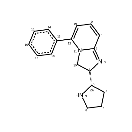 C1=CC2=NC([C@@H]3CCCN3)CN2C(c2ccccc2)=C1